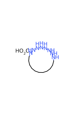 O=C(O)N1CCCCCCCCCCCNNNNNNN1